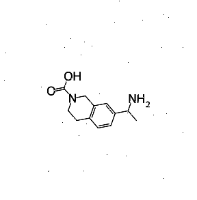 CC(N)c1ccc2c(c1)CN(C(=O)O)CC2